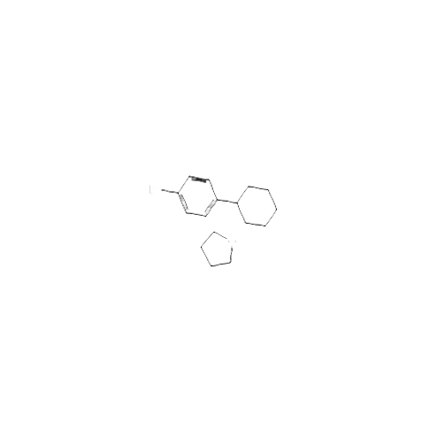 Brc1ccc(C2CCCCC2)cc1.C1CCOC1